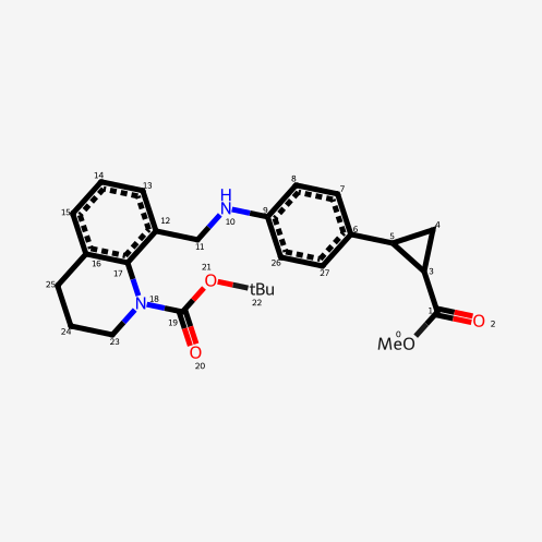 COC(=O)C1CC1c1ccc(NCc2cccc3c2N(C(=O)OC(C)(C)C)CCC3)cc1